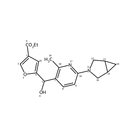 CCOC(=O)c1coc(C(O)c2ccc(N3CC4CC4C3)nc2C)c1